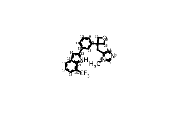 Cn1cnnc1CC1(c2cccc(-c3cc4cccc(C(F)(F)F)c4[nH]3)c2)COC1